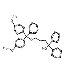 COc1ccc(C(OCCCC(O)(c2ccccc2)c2ccccc2)(c2ccccc2)c2ccc(OC)cc2)cc1